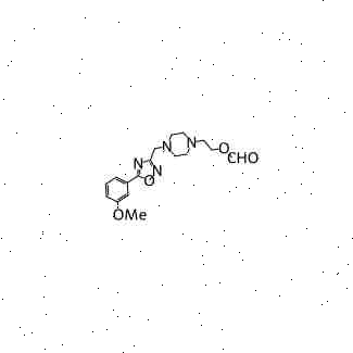 COc1cccc(-c2nc(CN3CCN(CCOC=O)CC3)no2)c1